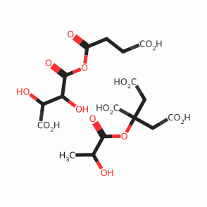 CC(O)C(=O)OC(CC(=O)O)(CC(=O)O)C(=O)O.O=C(O)CCC(=O)OC(=O)C(O)C(O)C(=O)O